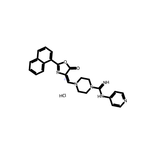 Cl.N=C(Nc1ccncc1)N1CCN(/C=C2/N=C(c3cccc4ccccc34)OC2=O)CC1